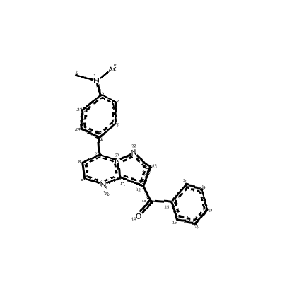 CC(=O)N(C)c1ccc(-c2ccnc3c(C(=O)c4ccccc4)cnn23)cc1